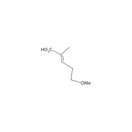 COCCC=C(C)C(=O)O